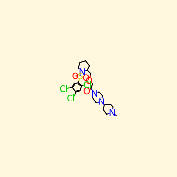 CN1CCC(N2CCN(C(=O)COCC3CCCCN3S(=O)(=O)c3cc(Cl)c(Cl)cc3Cl)CC2)CC1